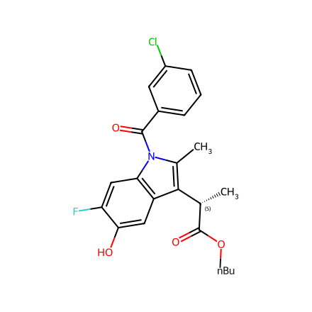 CCCCOC(=O)[C@@H](C)c1c(C)n(C(=O)c2cccc(Cl)c2)c2cc(F)c(O)cc12